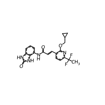 CC(F)(F)c1ccc(/C=C/C(=O)Nc2cccc3[nH]c(=O)[nH]c23)c(OCC2CC2)n1